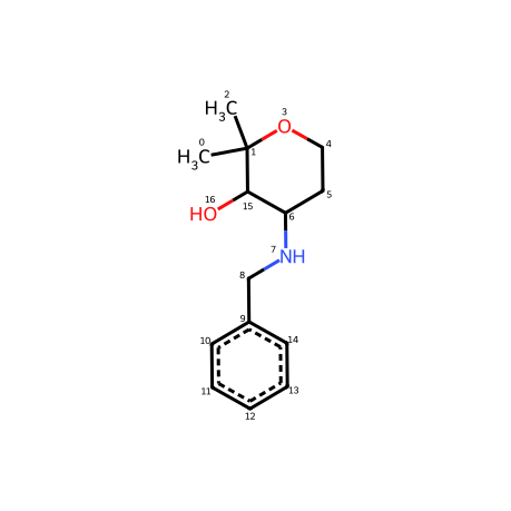 CC1(C)OCCC(NCc2ccccc2)C1O